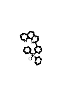 O=P(c1ccccc1)(c1ccccc1)c1cccc(-c2ccc3ccc4cccnc4c3n2)c1